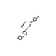 N#Cc1ccc(-c2nc(C(=O)NCCC3=CCN(Cc4ccc(F)cc4)CC3)no2)cc1.O=C(O)C=CC(=O)O